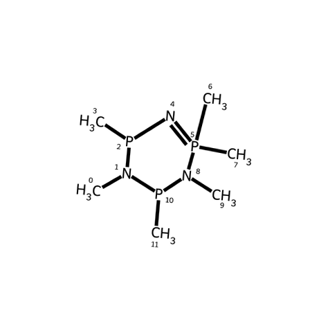 CN1P(C)N=P(C)(C)N(C)P1C